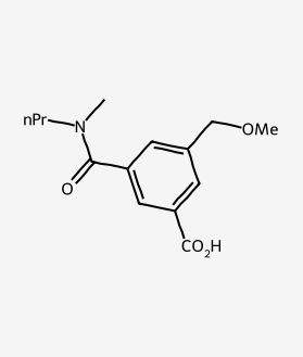 CCCN(C)C(=O)c1cc(COC)cc(C(=O)O)c1